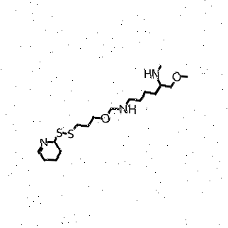 CNC(CCCCNCOCCCSSC1CCCC=N1)COC